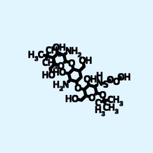 CC(C)(C)OC1OC(CO)C(OC2CC(CO)C(OC3OC(CO)C(C(C)(C)C)C(O)C3N)C(O)C2N)C(O)C1NSOOO